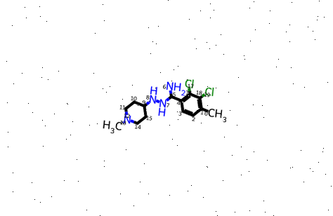 Cc1ccc(C(N)NNC2CCN(C)CC2)c(Cl)c1Cl